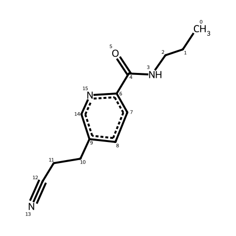 CCCNC(=O)c1ccc(CCC#N)cn1